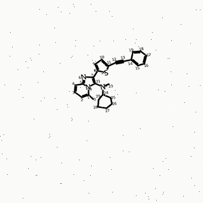 Cc1cccc2nc(-c3ccc(C#Cc4ccccc4)s3)c(N(C)C3CCCCC3)n12